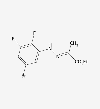 CCOC(=O)C(C)=NNc1cc(Br)cc(F)c1F